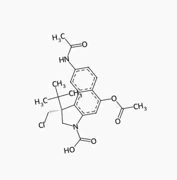 CC(=O)Nc1ccc2c(OC(C)=O)cc3c(c2c1)[C@](CCl)(C(C)(C)C)CN3C(=O)O